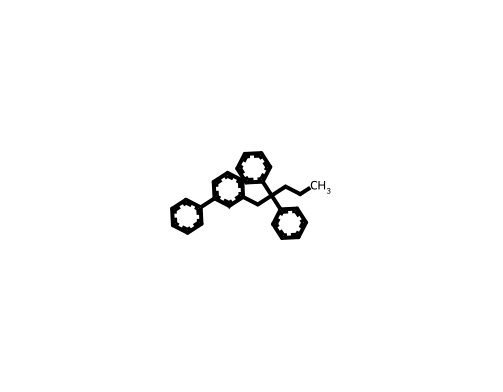 CCCC(Cc1[c]c(-c2ccccc2)ccc1)(c1ccccc1)c1ccccc1